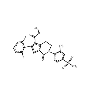 Cc1cc(S(C)(=O)=O)ncc1N1CCc2c(cc(-c3c(F)cccc3F)n2C(=O)OC(C)(C)C)C1=O